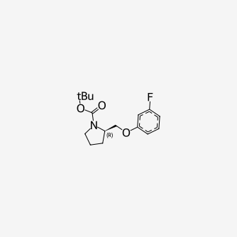 CC(C)(C)OC(=O)N1CCC[C@@H]1COc1cccc(F)c1